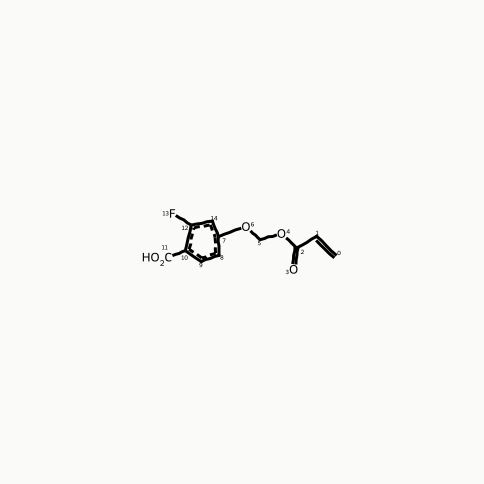 C=CC(=O)OCOc1ccc(C(=O)O)c(F)c1